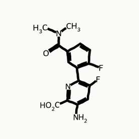 CN(C)C(=O)c1ccc(F)c(-c2nc(C(=O)O)c(N)cc2F)c1